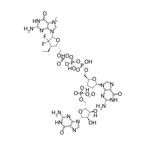 CC[C@@H]1[C@@H](COP(=O)(O)OP(=O)(O)OP(=O)(O)OC[C@H]2O[C@@H](n3cnc4c(=O)[nH]c(N)nc43)[C@H](OC)[C@@H]2OP(=O)(O)OC[C@H]2O[C@@H](n3cnc4c(=O)[nH]c(N)nc43)[C@H](O)[C@@H]2O)OC(n2c[n+](C)c3c(=O)[nH]c(N)nc32)C1(F)F